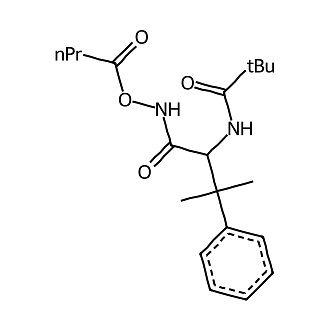 CCCC(=O)ONC(=O)C(NC(=O)C(C)(C)C)C(C)(C)c1ccccc1